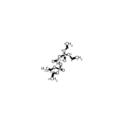 C=COP(=O)(OC=C)O[PH](=O)OP(=O)(OC=C)OC=C